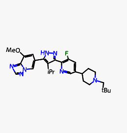 COc1cc(-c2[nH]nc(-c3ncc(C4CCN(CC(C)(C)C)CC4)cc3F)c2C(C)C)cn2ncnc12